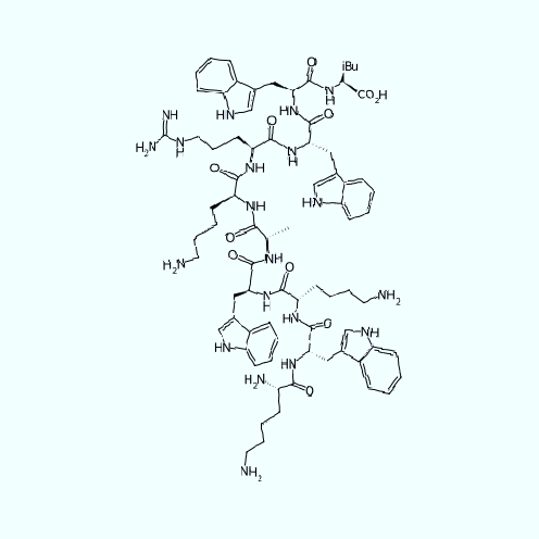 CC[C@H](C)[C@H](NC(=O)[C@H](Cc1c[nH]c2ccccc12)NC(=O)[C@H](Cc1c[nH]c2ccccc12)NC(=O)[C@H](CCCNC(=N)N)NC(=O)[C@H](CCCCN)NC(=O)[C@H](C)NC(=O)[C@H](Cc1c[nH]c2ccccc12)NC(=O)[C@H](CCCCN)NC(=O)[C@H](Cc1c[nH]c2ccccc12)NC(=O)[C@@H](N)CCCCN)C(=O)O